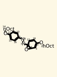 CCCCCCCCOC1=CC2OC2(N=Nc2ccc(OCCCCCCCC)cc2)C=C1